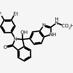 CCc1cc(N2C(=O)c3ccccc3C2(O)c2ccc3[nH]c(NC(=O)O)nc3c2)ccc1F